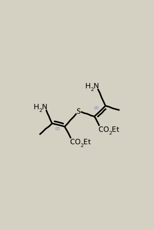 CCOC(=O)/C(S/C(C(=O)OCC)=C(/C)N)=C(\C)N